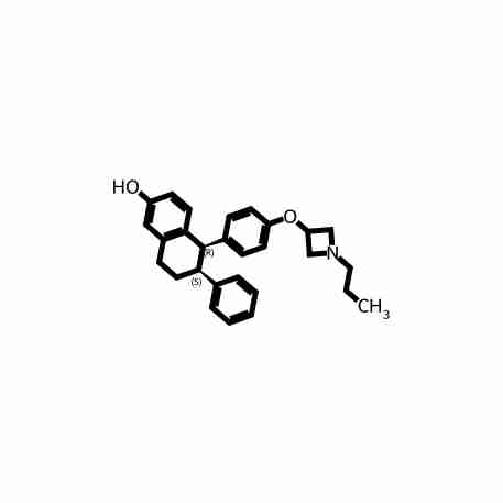 CCCN1CC(Oc2ccc([C@@H]3c4ccc(O)cc4CC[C@@H]3c3ccccc3)cc2)C1